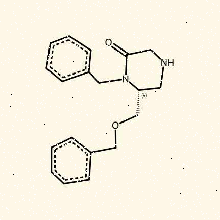 O=C1CNC[C@H](COCc2ccccc2)N1Cc1ccccc1